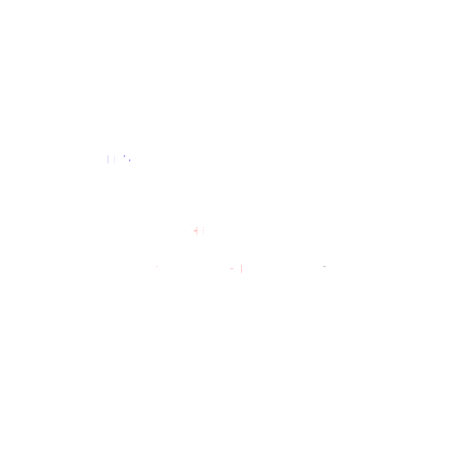 CCCCOCCN.OP(O)(O)=S